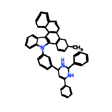 CC1C=Cc2c(c3ccc4ccccc4c3c3c4ccccc4n(-c4cccc(C5C=C(c6ccccc6)NC(c6ccccc6)N5)c4)c23)C1